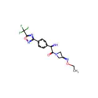 CCON=C1CN(C(=O)C(=N)c2ccc(-c3noc(C(F)(F)F)n3)cc2)C1